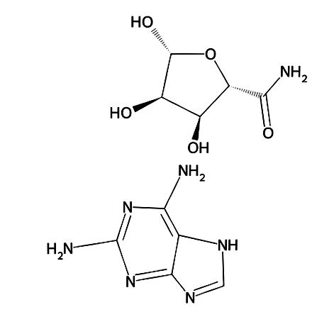 NC(=O)[C@H]1O[C@@H](O)[C@H](O)[C@@H]1O.Nc1nc(N)c2[nH]cnc2n1